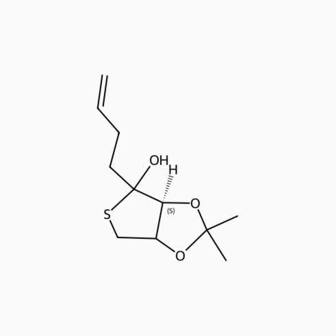 C=CCCC1(O)SCC2OC(C)(C)O[C@@H]21